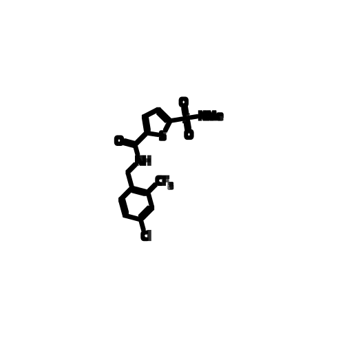 CNS(=O)(=O)c1ccc(C(=O)NCc2ccc(Cl)cc2C(F)(F)F)s1